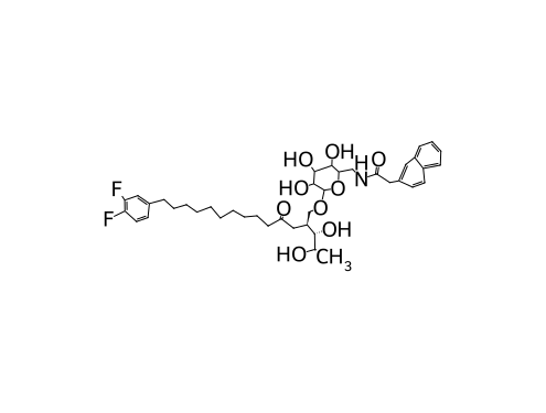 C[C@@H](O)[C@@H](O)[C@H](COC1OC(CNC(=O)Cc2ccc3ccccc3c2)C(O)C(O)C1O)CC(=O)CCCCCCCCCCc1ccc(F)c(F)c1